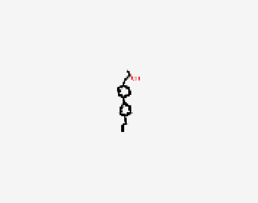 C=CCc1ccc(-c2ccc(CC(C)O)cc2)cc1